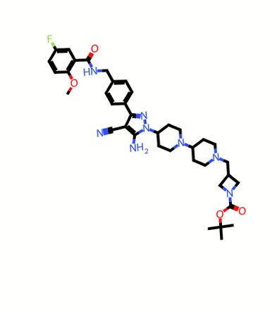 COc1ccc(F)cc1C(=O)NCc1ccc(-c2nn(C3CCN(C4CCN(CC5CN(C(=O)OC(C)(C)C)C5)CC4)CC3)c(N)c2C#N)cc1